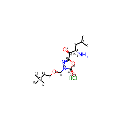 CC(C)C[C@H](N)C(=O)c1nn(COCC[Si](C)(C)C)c(=O)o1.Cl